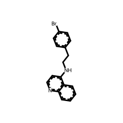 Brc1ccc(CCNc2ccnc3ccccc23)cc1